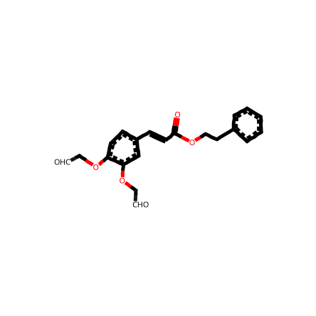 O=CCOc1ccc(/C=C/C(=O)OCCc2ccccc2)cc1OCC=O